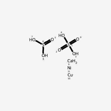 O=S(=O)(O)O.O=S(O)O.[CaH2].[Cu].[Ni]